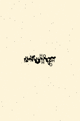 CCCCC[C@H](CN(O)C=O)C(=O)NNc1cccc(-n2nc(-n3cncn3)nc2C)n1